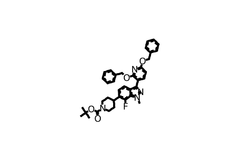 Cn1nc(-c2ccc(OCc3ccccc3)nc2OCc2ccccc2)c2ccc(C3CCN(C(=O)OC(C)(C)C)CC3)c(F)c21